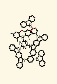 Cc1cc(C)c(B(c2nc(-n3c4ccccc4c4cc5c6ccccc6n(-c6ccc(B7c8ccccc8-c8ccccc87)cc6)c5cc43)nc(-n3c4ccccc4c4cc5c6ccccc6n(-c6ccc(B7c8ccccc8-c8ccccc87)cc6)c5cc43)n2)c2c(C)cc(C)cc2C)c(C)c1